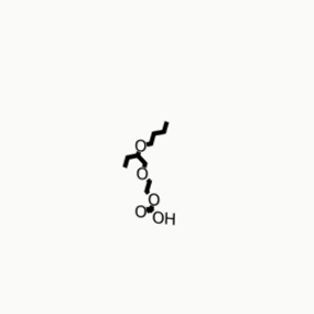 CCCCOC(CC)COCCOC(=O)O